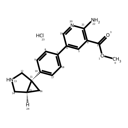 COC(=O)c1cc(-c2ccc([C@@]34CNC[C@@H]3C4)cc2)cnc1N.Cl